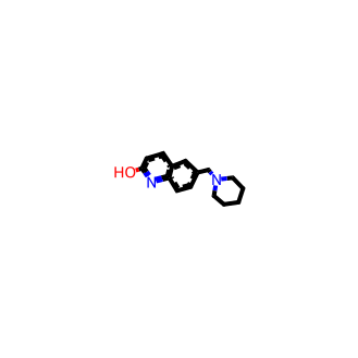 Oc1ccc2cc(CN3CCCCC3)ccc2n1